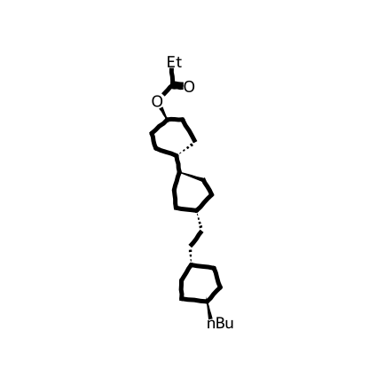 CCCC[C@H]1CC[C@H](CC[C@H]2CC[C@H]([C@H]3CC[C@H](OC(=O)CC)CC3)CC2)CC1